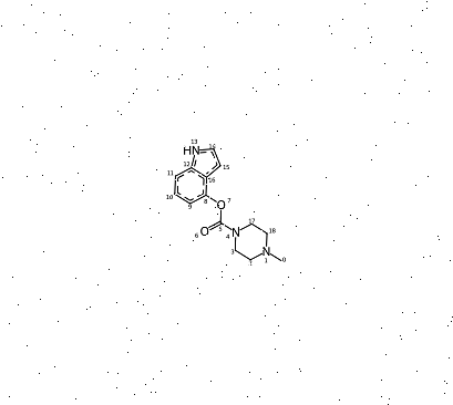 CN1CCN(C(=O)Oc2cccc3[nH]ccc23)CC1